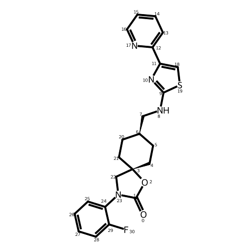 O=C1O[C@]2(CC[C@H](CNc3nc(-c4ccccn4)cs3)CC2)CN1c1ccccc1F